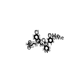 COc1ccc(-n2c(=O)n(Cc3cc4cc(Cl)ccc4n3CCCS(C)(=O)=O)c3cnccc32)cc1OC